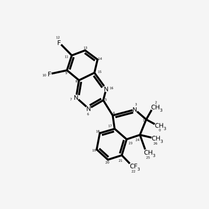 CC1(C)N=C(c2nnc3c(F)c(F)ccc3n2)c2cccc(C(F)(F)F)c2C1(C)C